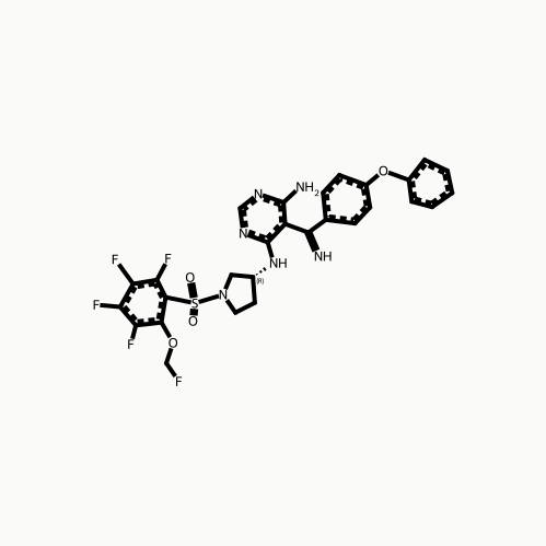 N=C(c1ccc(Oc2ccccc2)cc1)c1c(N)ncnc1N[C@@H]1CCN(S(=O)(=O)c2c(F)c(F)c(F)c(F)c2OCF)C1